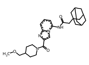 COCC1CCN(C(=O)c2cn3c(NC(=O)CC45CC6CC(CC(C6)C4)C5)cccc3n2)CC1